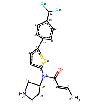 CC=CC(=O)N(c1ccc(-c2ccc(C(F)F)cc2)s1)C1CCNC1